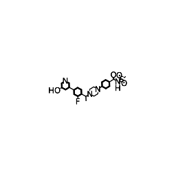 CC(c1ccc(-c2cncc(O)c2)cc1F)N1CCN(c2ccc(C(=O)NS(C)(=O)=O)cc2)CC1